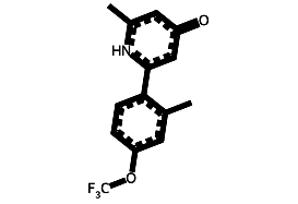 Cc1cc(=O)cc(-c2ccc(OC(F)(F)F)cc2C)[nH]1